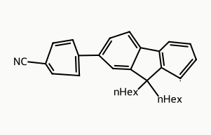 CCCCCCC1(CCCCCC)c2[c]cccc2-c2ccc(-c3ccc(C#N)cc3)cc21